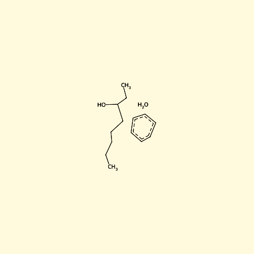 CCCCCC(O)CC.O.c1ccccc1